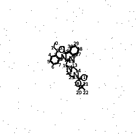 CCCc1ccccc1-n1c(CN2CCN(C(=O)OC(C)(C)C)CC2)nc2ccccc2c1=O